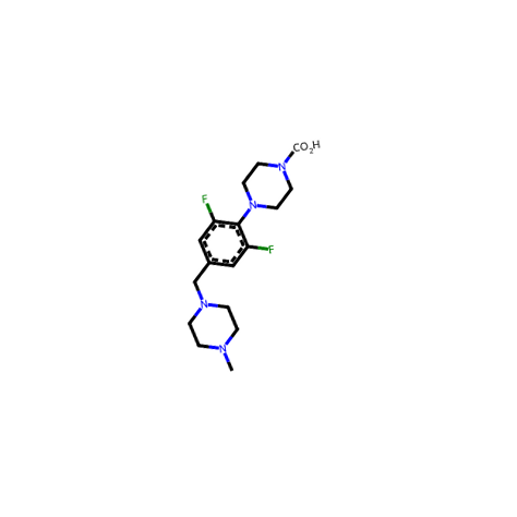 CN1CCN(Cc2cc(F)c(N3CCN(C(=O)O)CC3)c(F)c2)CC1